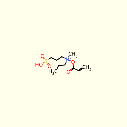 C=CC(=O)O[N+](C)(CCC)CCCS(=O)(=O)O